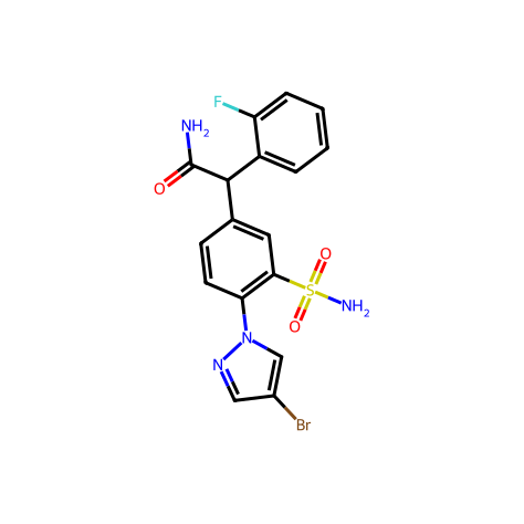 NC(=O)C(c1ccc(-n2cc(Br)cn2)c(S(N)(=O)=O)c1)c1ccccc1F